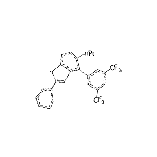 CCCc1ccc2c(c1-c1cc(C(F)(F)F)cc(C(F)(F)F)c1)C=C(c1ccccc1)[CH]2